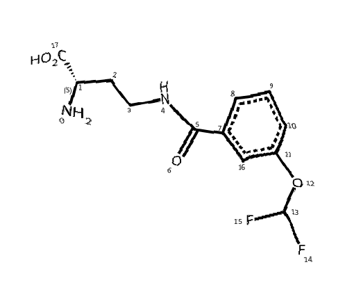 N[C@@H](CCNC(=O)c1cccc(OC(F)F)c1)C(=O)O